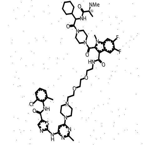 CN[C@@H](C)C(=O)NC(C(=O)N1CCN(C(=O)c2c(C(=O)NCCOCCOCCN3CCN(c4cc(Nc5ncc(C(=O)Nc6c(C)cccc6Cl)s5)nc(C)n4)CC3)c3cc(F)c(F)cc3n2C)CC1)C1CCCCC1